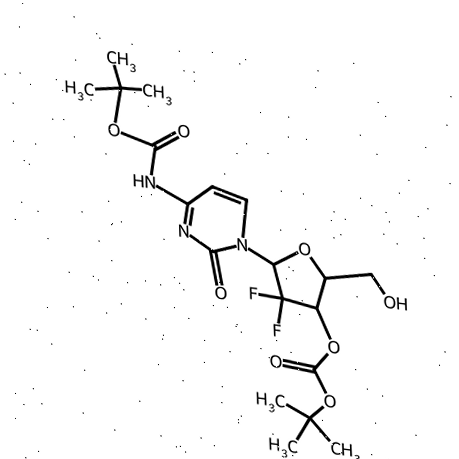 CC(C)(C)OC(=O)Nc1ccn(C2OC(CO)C(OC(=O)OC(C)(C)C)C2(F)F)c(=O)n1